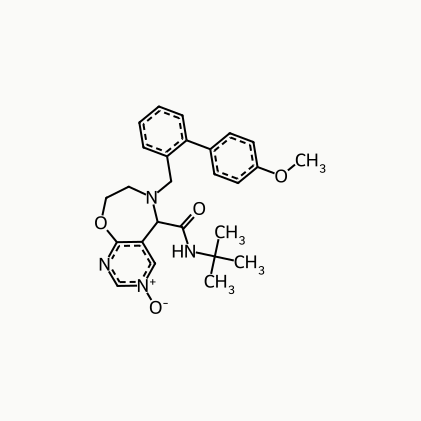 COc1ccc(-c2ccccc2CN2CCOc3nc[n+]([O-])cc3C2C(=O)NC(C)(C)C)cc1